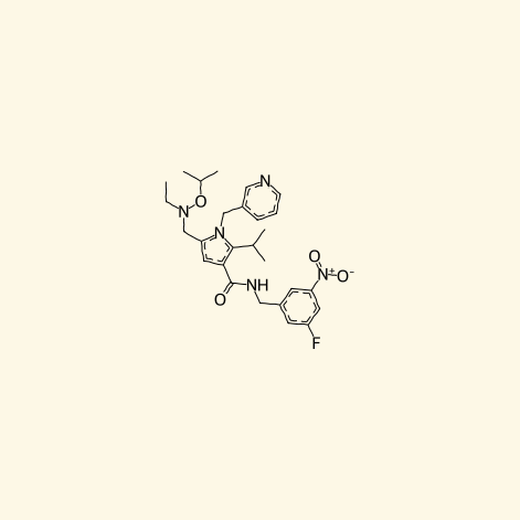 CCN(Cc1cc(C(=O)NCc2cc(F)cc([N+](=O)[O-])c2)c(C(C)C)n1Cc1cccnc1)OC(C)C